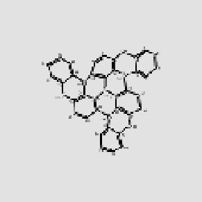 c1ccc2c(c1)Sc1ccc3c4c1B2c1ccc2c5c1N4c1c(ccc4c1B3c1ccccc1S4)B5c1ccccc1S2